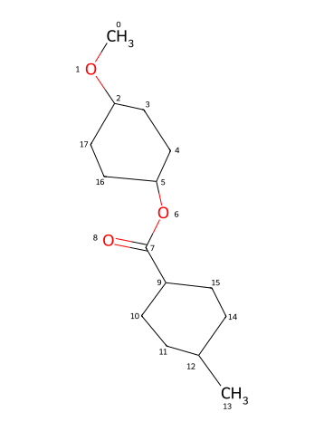 COC1CCC(OC(=O)C2CCC(C)CC2)CC1